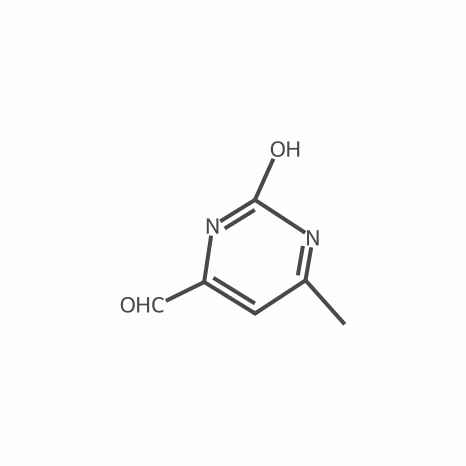 Cc1cc(C=O)nc(O)n1